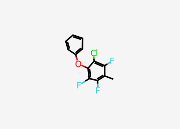 Cc1c(F)c(F)c(Oc2ccccc2)c(Cl)c1F